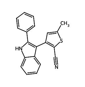 Cc1cc(-c2c(-c3ccccc3)[nH]c3ccccc23)c(C#N)s1